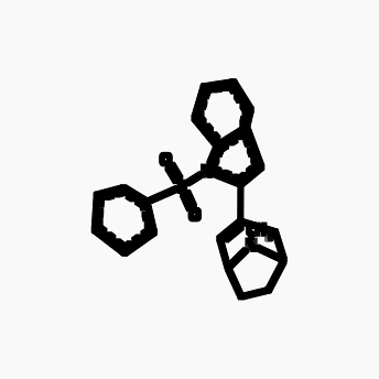 CN1C2C=C(c3cc4ccccc4n3S(=O)(=O)c3ccccc3)CC1CC2